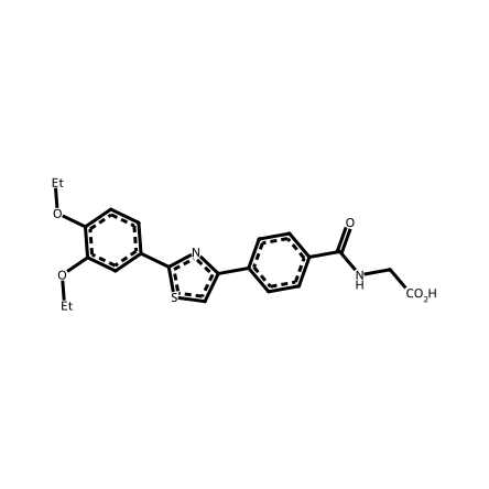 CCOc1ccc(-c2nc(-c3ccc(C(=O)NCC(=O)O)cc3)cs2)cc1OCC